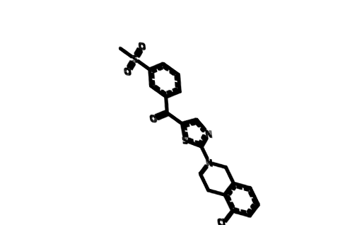 CS(=O)(=O)c1cccc(C(=O)c2cnc(N3CCc4c(Cl)cccc4C3)s2)c1